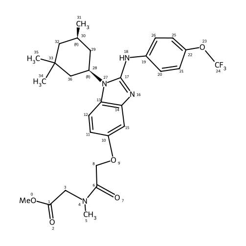 COC(=O)CN(C)C(=O)COc1ccc2c(c1)nc(Nc1ccc(OC(F)(F)F)cc1)n2[C@@H]1C[C@H](C)CC(C)(C)C1